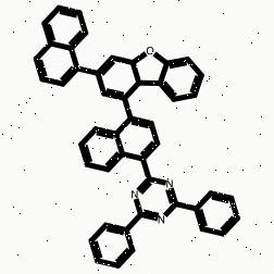 C1=C(c2cccc3ccccc23)C=C(c2ccc(-c3nc(-c4ccccc4)nc(-c4ccccc4)n3)c3ccccc23)C2c3ccccc3OC12